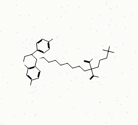 COC(=O)C(CCCCCCCC[C@H]1c2ccc(OC)cc2OC[C@@]1(SC)c1ccc(OC)cc1)(CCCC(F)(F)C(F)(F)F)C(=O)OC